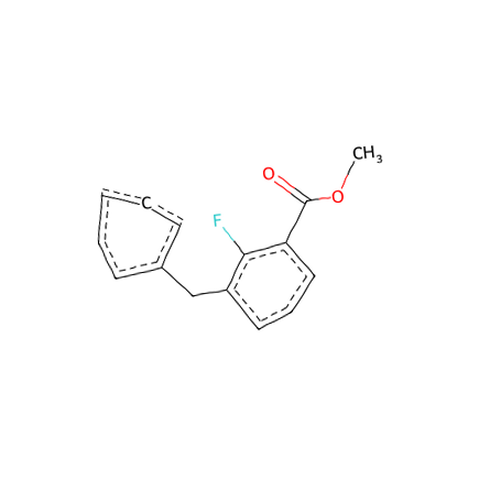 COC(=O)c1cccc(Cc2ccccc2)c1F